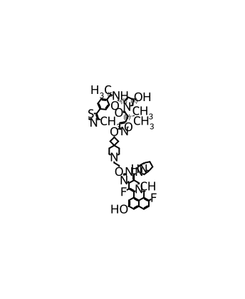 C#Cc1c(F)ccc2cc(O)cc(-c3ncc4c(N5CC6CCC(C5)N6)nc(OCCN5CCC6(CC5)CC(Oc5cc([C@H](C(=O)N7C[C@H](O)C[C@H]7C(=O)N[C@@H](C)c7ccc(-c8scnc8C)cc7)C(C)C)on5)C6)nc4c3F)c12